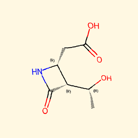 C[C@@H](O)[C@@H]1C(=O)N[C@@H]1CC(=O)O